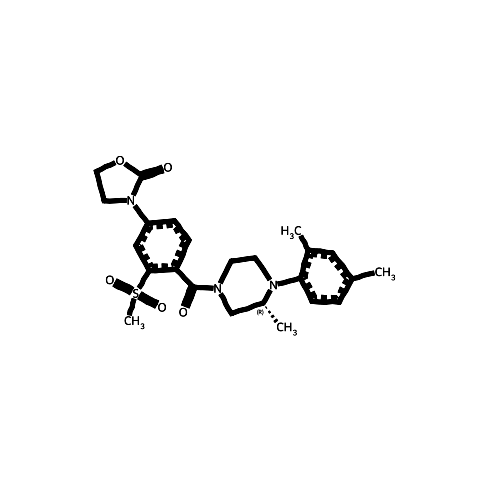 Cc1ccc(N2CCN(C(=O)c3ccc(N4CCOC4=O)cc3S(C)(=O)=O)C[C@H]2C)c(C)c1